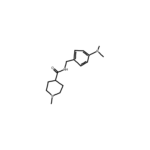 CN1CCC(C(=O)NCc2ccc(N(C)C)cc2)CC1